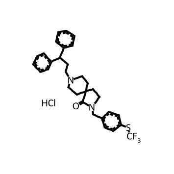 Cl.O=C1N(Cc2ccc(SC(F)(F)F)cc2)CCC12CCN(CCC(c1ccccc1)c1ccccc1)CC2